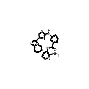 Nc1ncccc1NC(=O)c1cccc(Nc2nc(-c3cnc4ccccn34)cs2)c1